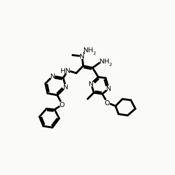 Cc1nc(/C(N)=C(\CNc2nccc(Oc3ccccc3)n2)N(C)N)cnc1OC1CCCCC1